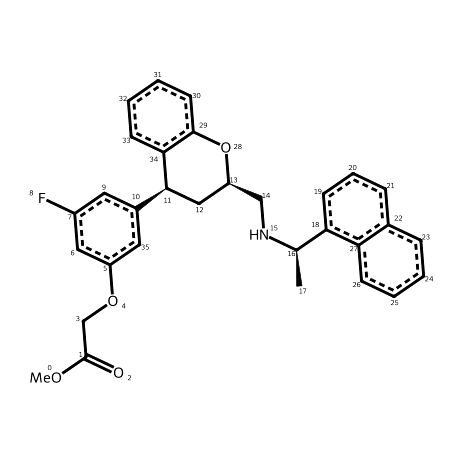 COC(=O)COc1cc(F)cc([C@@H]2C[C@H](CN[C@H](C)c3cccc4ccccc34)Oc3ccccc32)c1